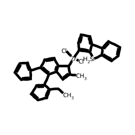 CCc1ccccc1-c1c(-c2ccccc2)ccc2c1C=C(C)[CH]2[Zr]([Cl])([Cl])[c]1cccc2c1[SiH2]c1ccccc1-2